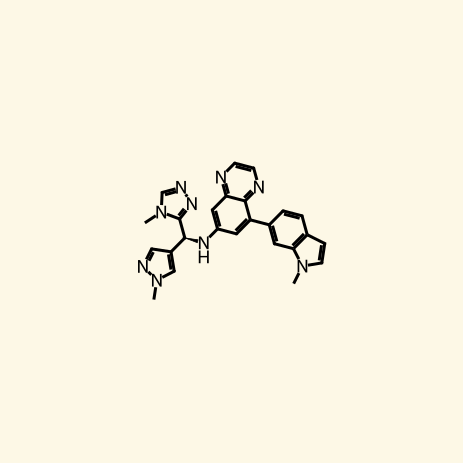 Cn1cc([C@H](Nc2cc(-c3ccc4ccn(C)c4c3)c3nccnc3c2)c2nncn2C)cn1